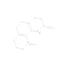 C[N+]1=CCCc2ccc3c(c21)N=C(Br)CC3